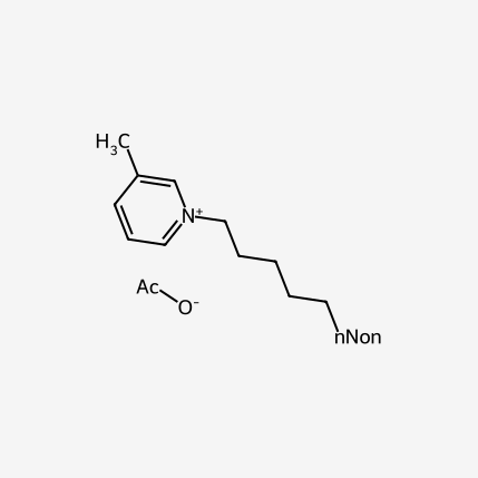 CC(=O)[O-].CCCCCCCCCCCCCC[n+]1cccc(C)c1